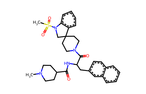 CN1CCC(C(=O)NC(Cc2ccc3ccccc3c2)C(=O)N2CCC3(CC2)CN(S(C)(=O)=O)c2ccccc23)CC1